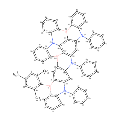 Cc1cc(C)c(B2c3ccccc3N(c3ccccc3)c3cc4c(cc32)B2c3ccccc3N3c5ccccc5B5c6ccccc6N(c6ccccc6)c6cc(c2c3c65)N4c2ccccc2)c(C)c1